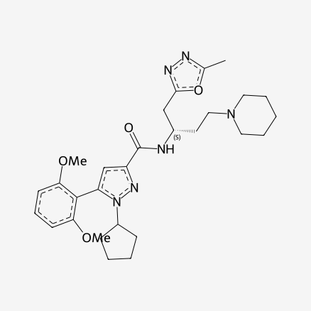 COc1cccc(OC)c1-c1cc(C(=O)N[C@@H](CCN2CCCCC2)Cc2nnc(C)o2)nn1C1CCCC1